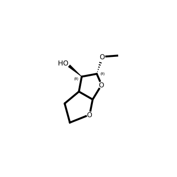 CO[C@@H]1OC2OCCC2[C@H]1O